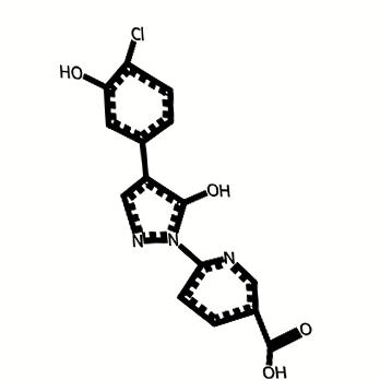 O=C(O)c1ccc(-n2ncc(-c3ccc(Cl)c(O)c3)c2O)nc1